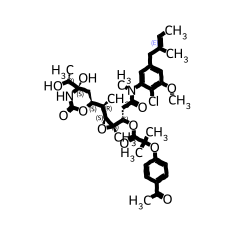 C/C=C(\C)Cc1cc(OC)c(Cl)c(N(C)C(=O)C[C@H](OC(=O)C(C)(C)Oc2ccc(C(C)=O)cc2)[C@]2(C)O[C@H]2[C@H](C)[C@@H]2C[C@](O)([C@@H](C)O)NC(=O)O2)c1